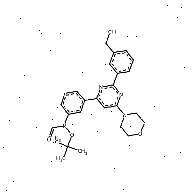 CC(C)(C)ON(C=O)c1cccc(-c2cc(N3CCOCC3)nc(-c3cccc(CO)c3)n2)c1